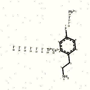 NCCc1ccc(F)cc1.[Ca+2].[I-].[I-].[I-].[I-].[I-].[I-].[I-].[I-].[Pb+2].[Ti+4]